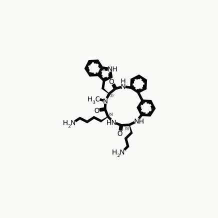 CN1C(=O)[C@H](CCCCN)NC(=O)[C@H](CCCN)Nc2cccc(c2)-c2ccccc2NC(=O)[C@@H]1Cc1c[nH]c2ccccc12